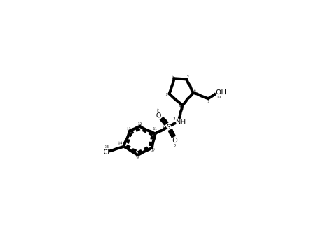 O=S(=O)(NC1CCCC1CO)c1ccc(Cl)cc1